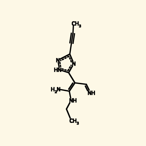 CC#Cc1n[nH]c(/C(C=N)=C(\N)NCC)n1